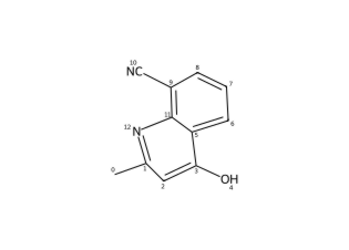 Cc1cc(O)c2cccc(C#N)c2n1